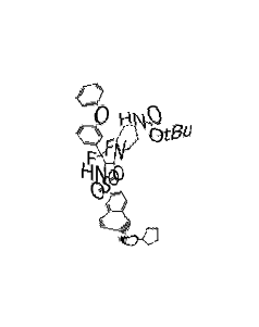 CC(C)(C)OC(=O)NC1CCN(C(=O)C(NS(=O)(=O)c2ccc3cc(OC4CCCC4)ccc3c2)C(F)(F)c2cccc(Oc3ccccc3)c2)CC1